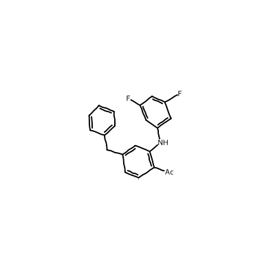 CC(=O)c1[c]cc(Cc2ccccc2)cc1Nc1cc(F)cc(F)c1